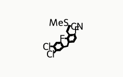 CS/C(C#N)=C/c1c(F)ccc(Cc2ccc(Cl)c(Cl)c2)c1F